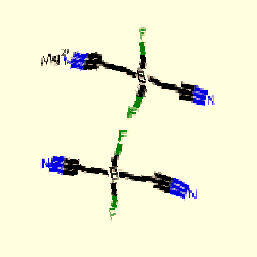 N#C[B-](F)(F)C#N.N#C[B-](F)(F)C#N.[Mg+2]